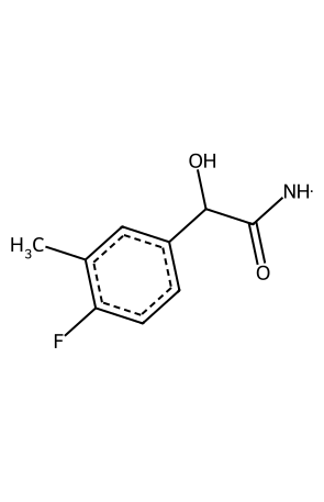 Cc1cc(C(O)C([NH])=O)ccc1F